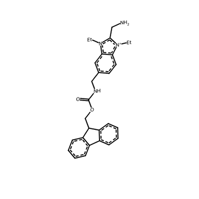 CCn1c(CN)[n+](CC)c2ccc(CNC(=O)OCC3c4ccccc4-c4ccccc43)cc21